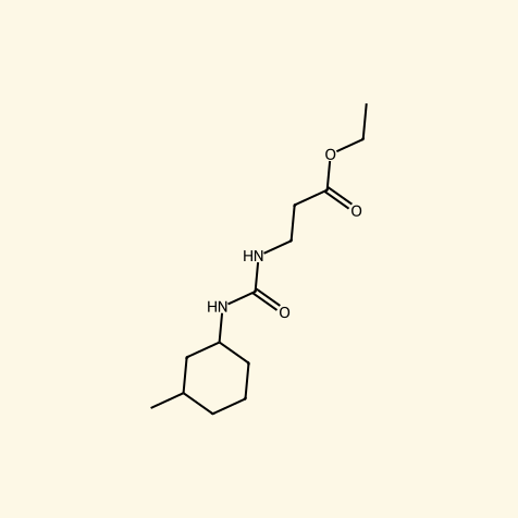 CCOC(=O)CCNC(=O)NC1CCCC(C)C1